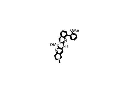 COc1ccccc1-c1cccc2cnc(Nc3cc4c(nc3OC)CCN(C)C4)nc12